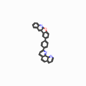 c1ccc2nc3oc4ccc(-c5ccc(-c6ccc7ccc8cccnc8c7n6)cc5)cc4c3cc2c1